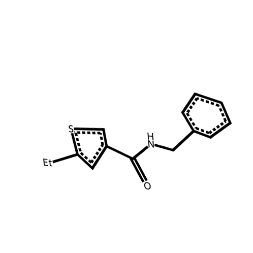 CCc1cc(C(=O)NCc2ccccc2)cs1